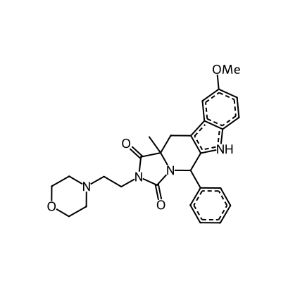 COc1ccc2[nH]c3c(c2c1)CC1(C)C(=O)N(CCN2CCOCC2)C(=O)N1C3c1ccccc1